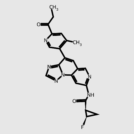 CCC(=O)c1cc(C)c(-c2cc3cnc(NC(=O)[C@H]4C[C@H]4F)cc3n3ncnc23)cn1